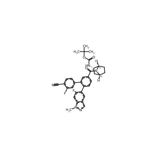 Cn1ncc2cc(-c3ccc(C(=O)N4[C@@H]5CC[C@H]4[C@@H](NC(=O)OC(C)(C)C)C5)cc3-c3ccc(C#N)c(F)c3)c(F)cc21